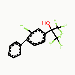 OC(c1ccc(-c2ccccc2)c(F)c1)(C(F)(F)F)C(F)(F)F